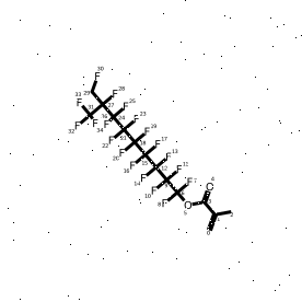 C=C(C)C(=O)OC(F)(F)C(F)(F)C(F)(F)C(F)(F)C(F)(F)C(F)(F)C(F)(F)C(F)(CF)C(F)(F)F